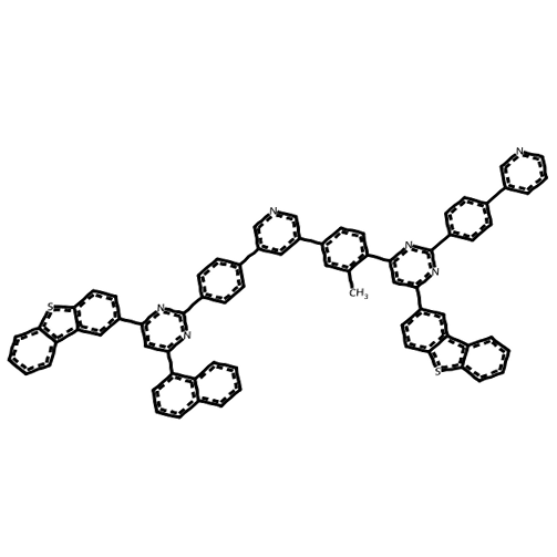 Cc1cc(-c2cncc(-c3ccc(-c4nc(-c5ccc6sc7ccccc7c6c5)cc(-c5cccc6ccccc56)n4)cc3)c2)ccc1-c1cc(-c2ccc3sc4ccccc4c3c2)nc(-c2ccc(-c3cccnc3)cc2)n1